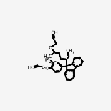 C#CCOC(/C=C\C(=C/C)C1(/C(C=C)=C/C=C(\C)OCC#C)c2ccccc2-c2ccccc21)=C\C(C)C